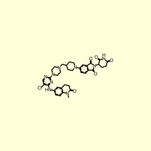 CN1C(=O)CCc2cc(Nc3nc(N4CCN(CC5CCN(c6ccc7c(c6)C(=O)N(C6CCC(=O)NC6=O)C7=O)CC5)CC4)ncc3Cl)ccc21